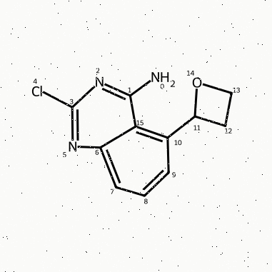 Nc1nc(Cl)nc2cccc(C3CCO3)c12